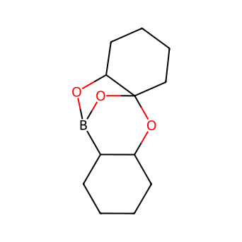 C1CCC2B3OC4CCCCC4(O3)OC2C1